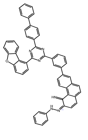 N=C1/C(=N\Nc2ccccc2)C=Cc2ccc3cc(-c4cccc(-c5nc(-c6ccc(-c7ccccc7)cc6)nc(-c6cccc7oc8ccccc8c67)n5)c4)ccc3c21